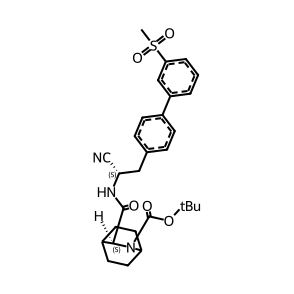 CC(C)(C)OC(=O)N1C2CCC(CC2)[C@H]1C(=O)N[C@H](C#N)Cc1ccc(-c2cccc(S(C)(=O)=O)c2)cc1